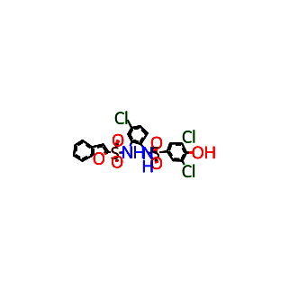 O=S(=O)(Nc1ccc(Cl)cc1NS(=O)(=O)c1cc2ccccc2o1)c1cc(Cl)c(O)c(Cl)c1